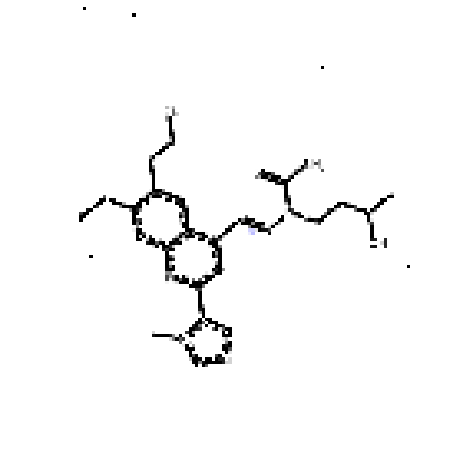 CC(O)CCN(/N=C/c1cc(-c2cncn2C)nc2cc(CI)c(CCC#N)cc12)C(N)=S